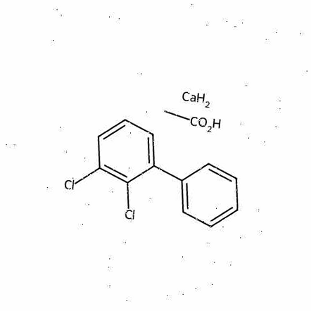 CC(=O)O.Clc1cccc(-c2ccccc2)c1Cl.[CaH2]